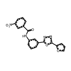 O=C(Nc1cccc(-c2nnc(-c3ccco3)o2)c1)c1cccc([N+](=O)[O-])c1